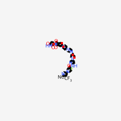 N#Cc1ncc(N2CCC(F)(C(=O)Nc3ccc(N4CCC(CN5CCN(C6CCN(c7ccc8c(c7)C(=O)N([C@H]7CCC(=O)NC7=O)C8=O)CC6)CC5)CC4)cn3)CC2)cc1C(F)(F)F